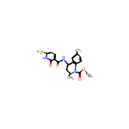 Cc1ccc2c(c1)C(NC(=O)c1ccc(C(F)(F)F)[nH]c1=O)CC(C)N2C(=O)OC(C)(C)C